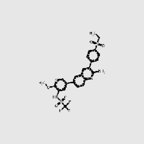 CCS(=O)(=O)c1ccc(-c2cc3cc(-c4cnc(OC)c(NS(=O)(=O)C(F)(F)F)c4)ccc3nc2N)cc1